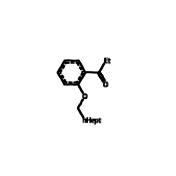 CCCCCCCCOc1ccccc1C(=O)CC